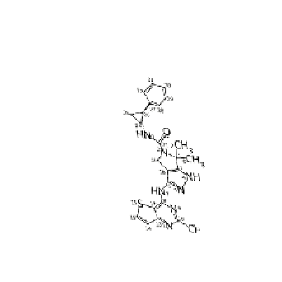 CC1(C)c2[nH]nc(Nc3nc(Cl)nc4ccsc34)c2CN1C(=O)N[C@@H]1C[C@H]1c1ccccc1